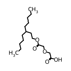 CCCCCC(CCCCC)CCOC(=O)COCC(=O)O